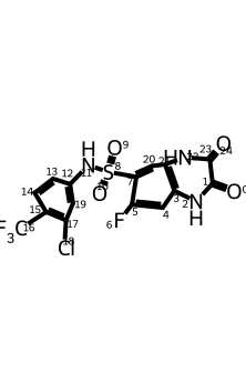 O=c1[nH]c2cc(F)c(S(=O)(=O)Nc3ccc(C(F)(F)F)c(Cl)c3)cc2[nH]c1=O